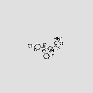 CNC(=O)OC(c1cc(S(=O)(=O)c2ccc(Cl)nc2)n(-c2ccccc2F)n1)C(C)(C)C